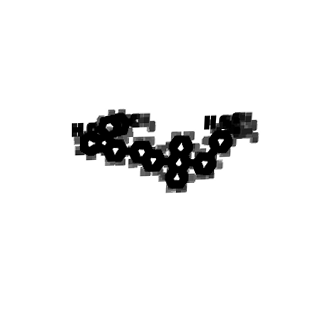 CC1CC2CC(C)C3(c4ccccc4-c4ccc(-c5ccc6cc(-c7c8ccccc8c(-c8cccc(-c9ccc([Si](C)(C)C)cc9)c8)c8ccccc78)ccc6c5)cc43)C(C1)C2